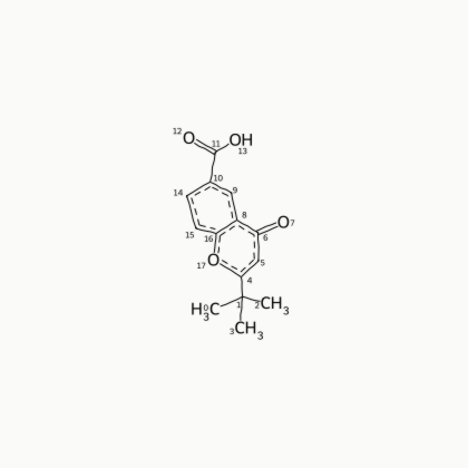 CC(C)(C)c1cc(=O)c2cc(C(=O)O)ccc2o1